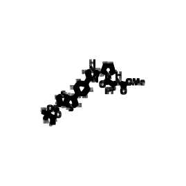 C=C1OB(c2csc3c(-c4ccc(-c5c[nH]c([C@@H]6CCCN6C(=O)[C@@H](NC(=O)OC)C(C)C)n5)cc4)csc23)OC1(C)C